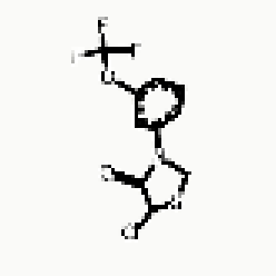 O=C1C(Cl)SCN1c1cccc(OC(F)(F)F)c1